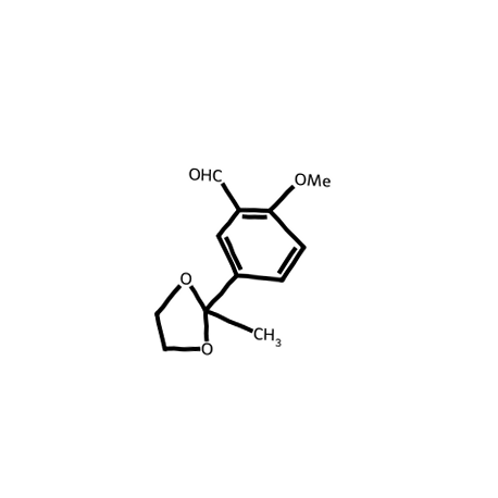 COc1ccc(C2(C)OCCO2)cc1C=O